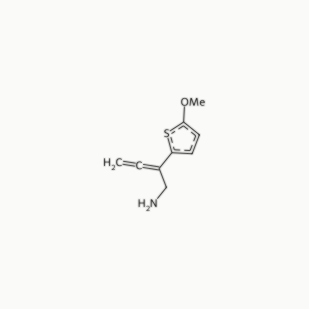 C=C=C(CN)c1ccc(OC)s1